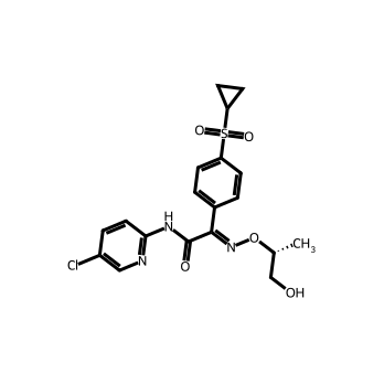 C[C@H](CO)O/N=C(/C(=O)Nc1ccc(Cl)cn1)c1ccc(S(=O)(=O)C2CC2)cc1